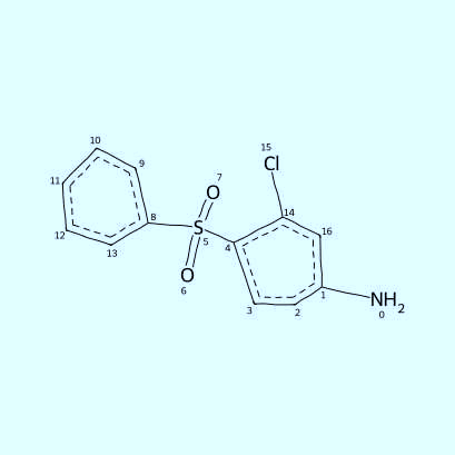 Nc1ccc(S(=O)(=O)c2ccccc2)c(Cl)c1